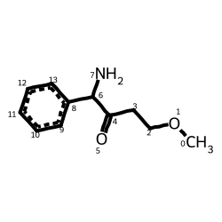 COCCC(=O)C(N)c1c[c]ccc1